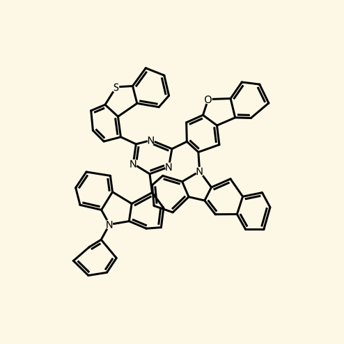 c1ccc(-n2c3ccccc3c3c(-c4nc(-c5cc6oc7ccccc7c6cc5-n5c6ccccc6c6cc7ccccc7cc65)nc(-c5cccc6sc7ccccc7c56)n4)cccc32)cc1